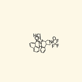 C[C@@H](NCC1CN(C(=O)C(F)(F)F)CC1c1ccccc1)c1cccc2ccccc12.Cl